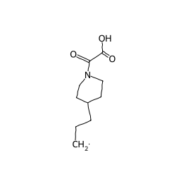 [CH2]CCC1CCN(C(=O)C(=O)O)CC1